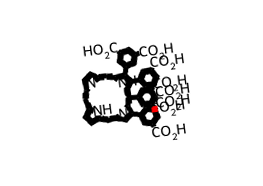 O=C(O)c1cc(C(=O)O)cc(C2=Cc3cc4ccc(cc5nc(cc6[nH]c(c(-c7cc(C(=O)O)cc(C(=O)O)c7)c2n3)c(-c2cc(C(=O)O)cc(C(=O)O)c2)c6-c2cc(C(=O)O)cc(C(=O)O)c2)C=C5)[nH]4)c1